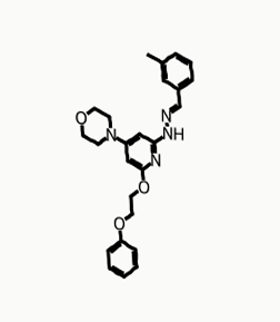 Cc1cccc(C=NNc2cc(N3CCOCC3)cc(OCCOc3ccccc3)n2)c1